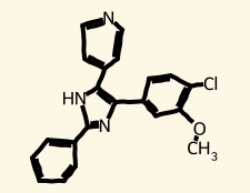 COc1cc(-c2nc(-c3ccccc3)[nH]c2-c2ccncc2)ccc1Cl